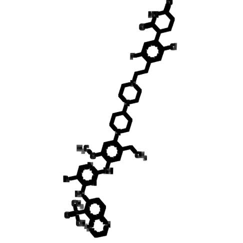 CCc1cc(Nc2ncc(Br)c(Nc3ccc4nccnc4c3P(C)(C)=O)n2)c(OC)cc1N1CCC(N2CCN(CCc3cc(Cl)c(C4CCC(=O)NC4=O)cc3F)CC2)CC1